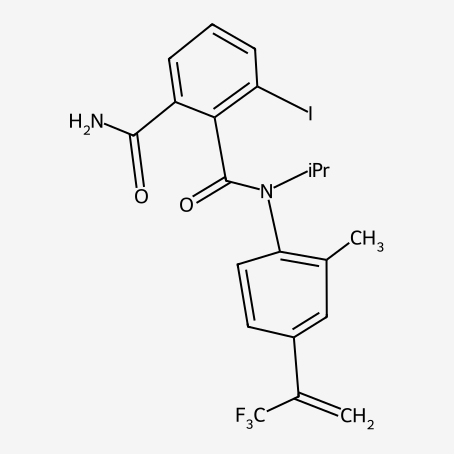 C=C(c1ccc(N(C(=O)c2c(I)cccc2C(N)=O)C(C)C)c(C)c1)C(F)(F)F